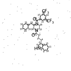 O=C(CCCc1c[nH]c2ccccc12)N1CCN(C(=O)c2cc(C(F)(F)F)cc(C(F)(F)F)c2)[C@H](Cc2ccccc2)C1